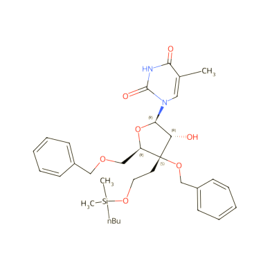 CCCC[Si](C)(C)OCC[C@@]1(OCc2ccccc2)[C@@H](COCc2ccccc2)O[C@@H](n2cc(C)c(=O)[nH]c2=O)[C@@H]1O